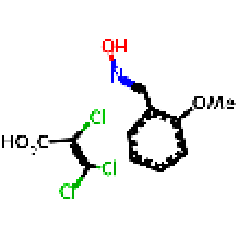 COc1ccccc1C=NO.O=C(O)C(Cl)=C(Cl)Cl